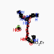 CCOC(=O)C1=C(Nc2ccccc2)S/C(=C\c2ccc(OCCOCCOCCOCCNC(=O)c3cc(NC(=O)Cc4ccc(C5=NCCN5)cc4)cc(NC(=O)Cc4ccc(C5=NCCN5)cc4)c3)c(O)c2)C1=O.O=C(O)C(F)(F)F